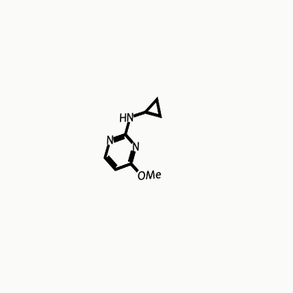 COc1ccnc(NC2CC2)n1